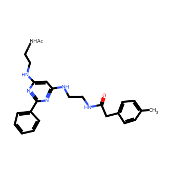 CC(=O)NCCNc1cc(NCCNC(=O)Cc2ccc(C)cc2)nc(-c2ccccc2)n1